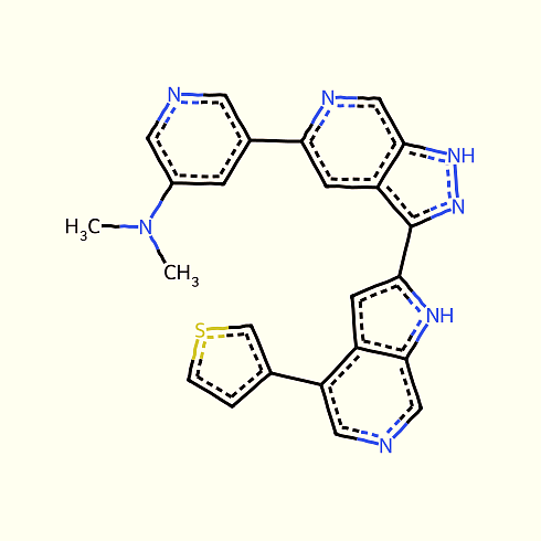 CN(C)c1cncc(-c2cc3c(-c4cc5c(-c6ccsc6)cncc5[nH]4)n[nH]c3cn2)c1